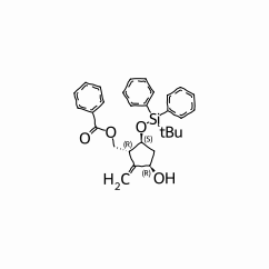 C=C1[C@H](O)C[C@H](O[Si](c2ccccc2)(c2ccccc2)C(C)(C)C)[C@H]1COC(=O)c1ccccc1